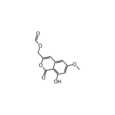 COc1cc(O)c2c(=O)oc(COC=O)cc2c1